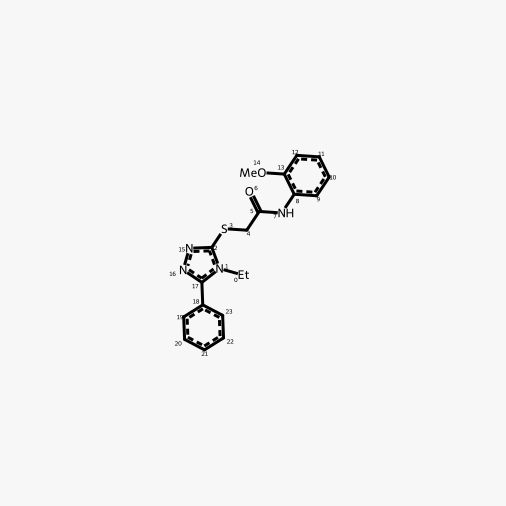 CCn1c(SCC(=O)Nc2ccccc2OC)nnc1-c1ccccc1